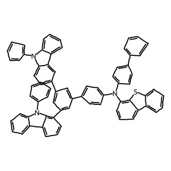 c1ccc(-c2ccc(N(c3ccc(-c4cc(-c5ccc6c(c5)c5ccccc5n6-c5ccccc5)cc(-c5cccc6c7ccccc7n(-c7ccccc7)c56)c4)cc3)c3cccc4c3sc3ccccc34)cc2)cc1